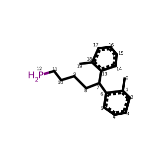 Cc1ccccc1C(CCCCP)c1ccccc1C